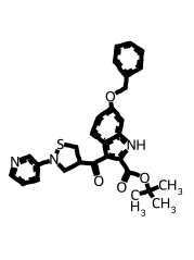 CC(C)(C)OC(=O)c1[nH]c2cc(OCc3ccccc3)ccc2c1C(=O)C1CSN(c2cccnc2)C1